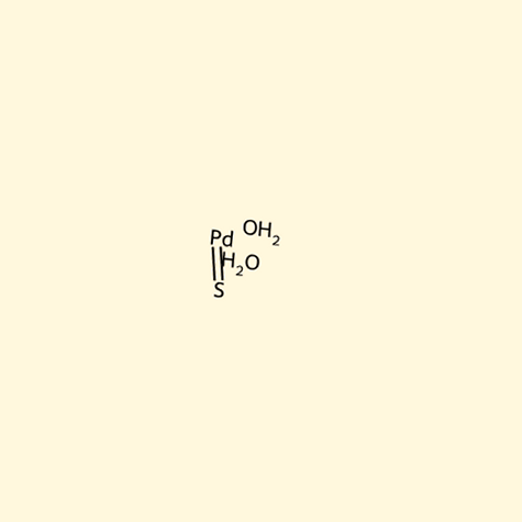 O.O.[S]=[Pd]